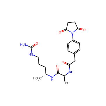 CC(C)[C@H](NC(=O)Cc1ccc(N2C(=O)CCC2=O)cc1)C(=O)N[C@@H](CCCNC(N)=O)C(=O)O